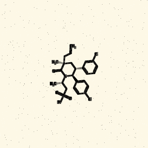 C=CC[C@@]1(C)C[C@H](c2cccc(Cl)c2)[C@@H](c2ccc(Cl)cc2)N([C@@H](C)CS(=O)(=O)C(C)C)C1=O